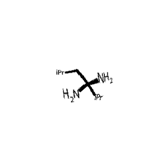 CC(C)CC(N)(N)C(C)C